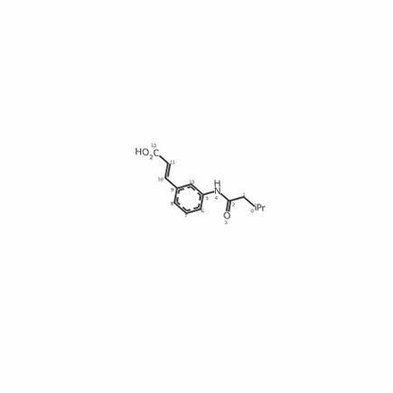 CC(C)CC(=O)Nc1cccc(/C=C/C(=O)O)c1